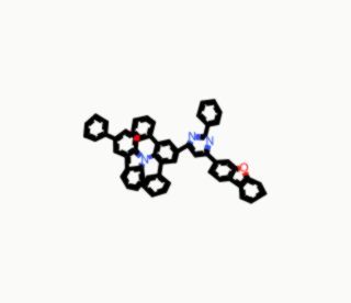 c1ccc(-c2ccc3c(c2)c2ccccc2n3-c2c(-c3ccccc3)cc(-c3cc(-c4ccc5c(c4)oc4ccccc45)nc(-c4ccccc4)n3)cc2-c2ccccc2)cc1